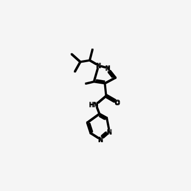 Cc1c(C(=O)Nc2ccnnc2)cnn1C(C)C(C)C